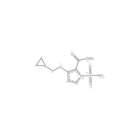 COC(=O)c1c(OCC2CC2)ccn1S(N)(=O)=O